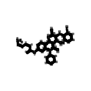 C=C(/N=C\C=C/N)Oc1ccc2c3oc(=O)c(Sc4ccccc4F)c(O)c3c(=O)n(-c3ccccc3)c2c1